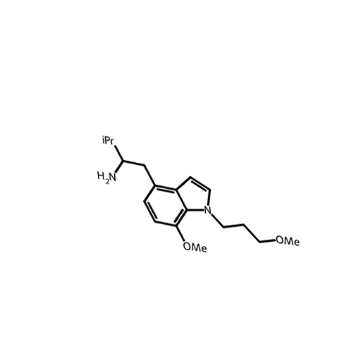 COCCCn1ccc2c(CC(N)C(C)C)ccc(OC)c21